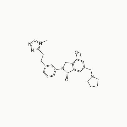 Cn1cnnc1CCc1cccc(N2Cc3c(cc(CN4CCCC4)cc3C(F)(F)F)C2=O)c1